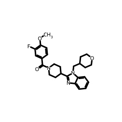 COc1ccc(C(=O)N2CCC(c3nc4ccccc4n3CC3CCOCC3)CC2)cc1F